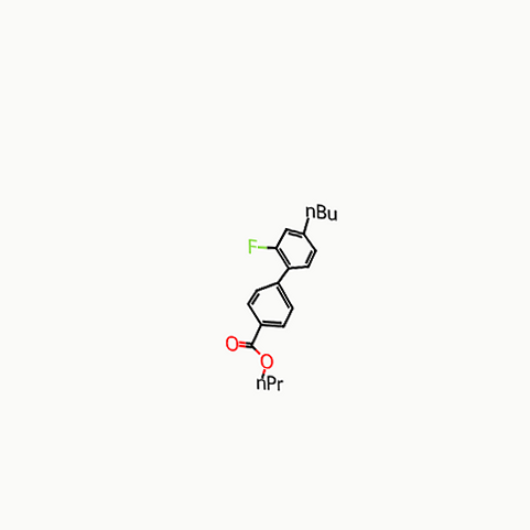 CCCCc1ccc(-c2ccc(C(=O)OCCC)cc2)c(F)c1